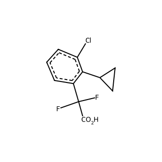 O=C(O)C(F)(F)c1cccc(Cl)c1C1CC1